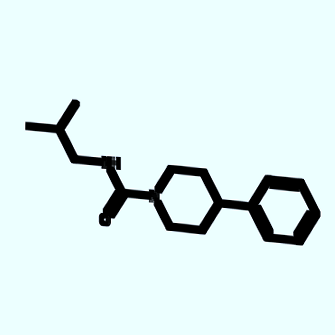 CC(C)CNC(=O)N1CCC(c2ccccc2)CC1